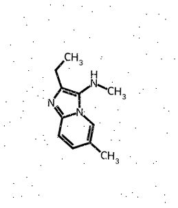 CCc1nc2ccc(C)cn2c1NC